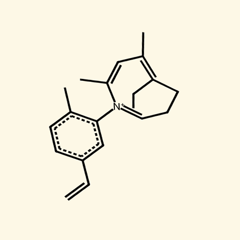 C=Cc1ccc(C)c([N+]2=C/CC/C(CC)=C(C)/C=C\2C)c1